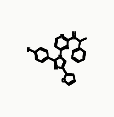 CC(Nc1nccc(-n2cc(-c3ccco3)nc2-c2ccc(F)cc2)n1)c1ccccc1